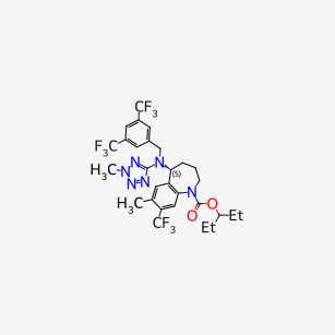 CCC(CC)OC(=O)N1CCC[C@H](N(Cc2cc(C(F)(F)F)cc(C(F)(F)F)c2)c2nnn(C)n2)c2cc(C)c(C(F)(F)F)cc21